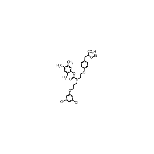 CCOC(Cc1ccc(OCCN(CCCOc2cc(Cl)cc(Cl)c2)C(=O)Oc2cc(C)c(C)cc2C)cc1)C(=O)O